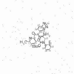 Cc1cccc(C(=O)C(/N=C(\N)CN(C(=O)OC(C)(C)C)c2ccccc2F)c2ccc3ncnn3c2)n1